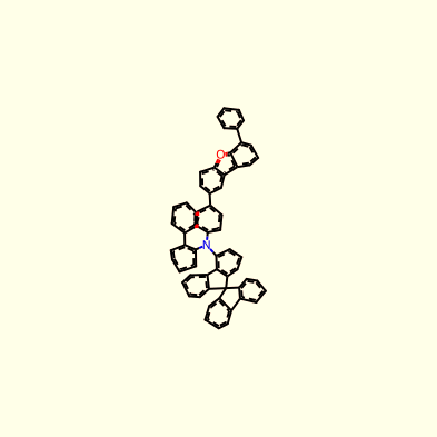 c1ccc(-c2ccccc2N(c2ccc(-c3ccc4oc5c(-c6ccccc6)cccc5c4c3)cc2)c2cccc3c2-c2ccccc2C32c3ccccc3-c3ccccc32)cc1